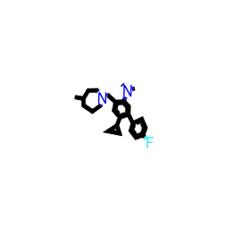 CC1CCCN(Cc2cc(C3CC3)c(-c3ccc(F)cc3)cc2N(C)C)CC1